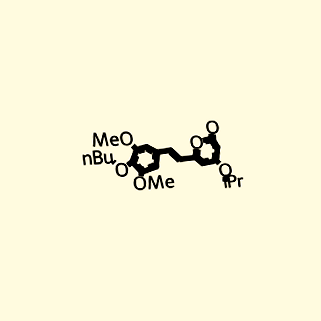 CCCCOc1c(OC)cc(C=Cc2cc(OC(C)C)cc(=O)o2)cc1OC